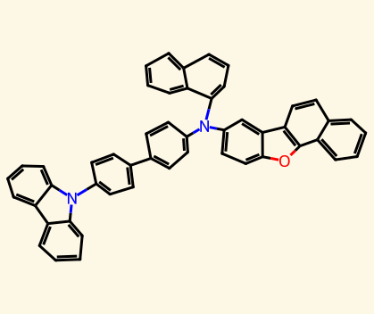 c1ccc2c(N(c3ccc(-c4ccc(-n5c6ccccc6c6ccccc65)cc4)cc3)c3ccc4oc5c6ccccc6ccc5c4c3)cccc2c1